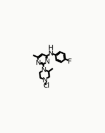 Cc1cc(Nc2ccc(F)cc2)nc(N2CCN(Cl)CC2C)n1